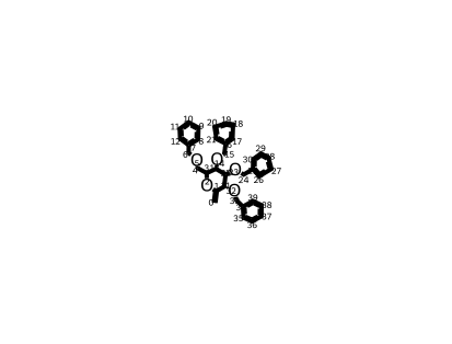 C=C1OC(COCc2ccccc2)[C@@H](OCc2ccccc2)C(OCc2ccccc2)[C@@H]1OCc1ccccc1